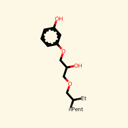 CCCCCC(CC)COCC(O)COc1cccc(O)c1